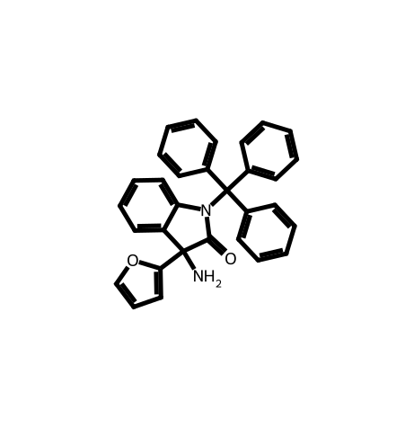 NC1(c2ccco2)C(=O)N(C(c2ccccc2)(c2ccccc2)c2ccccc2)c2ccccc21